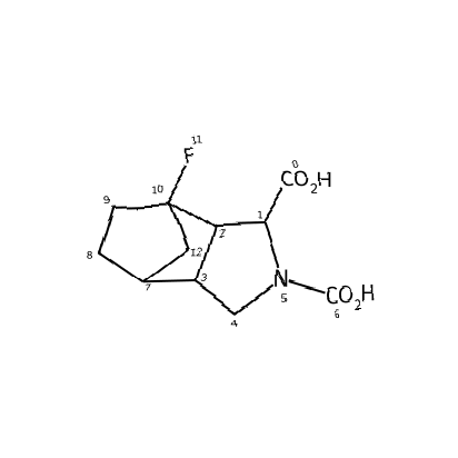 O=C(O)C1C2C(CN1C(=O)O)C1CCC2(F)C1